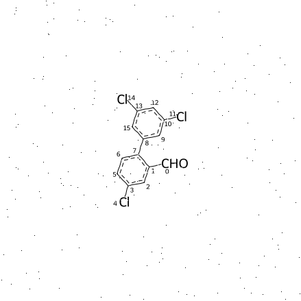 O=Cc1cc(Cl)ccc1-c1cc(Cl)cc(Cl)c1